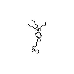 CCC[CH2][Sn]([CH2]CCC)([CH2]CCC)[c]1ccc(OCCOC(C)=O)cc1